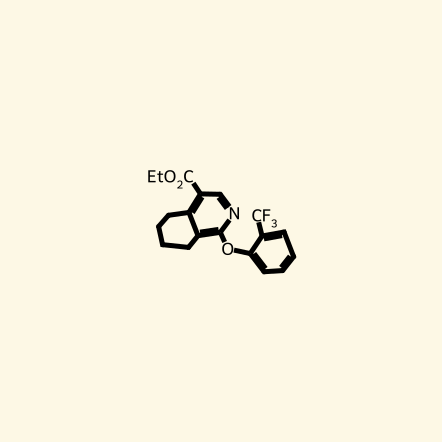 CCOC(=O)c1cnc(Oc2ccccc2C(F)(F)F)c2c1CCCC2